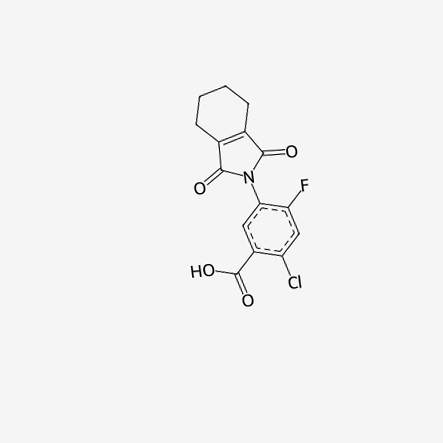 O=C(O)c1cc(N2C(=O)C3=C(CCCC3)C2=O)c(F)cc1Cl